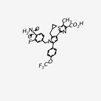 Cc1sc(-c2cc(-c3ccc(OC(F)(F)F)cc3)n(Cc3ccc(S(N)(=O)=O)c(F)c3)c2CC2CC2)nc1C(=O)O